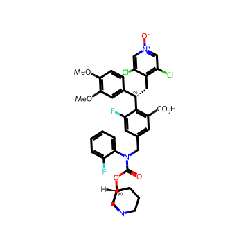 COc1ccc([C@H](Cc2c(Cl)c[n+]([O-])cc2Cl)c2c(F)cc(CN(C(=O)O[C@H]3CN4CCC3CC4)c3ccccc3F)cc2C(=O)O)cc1OC